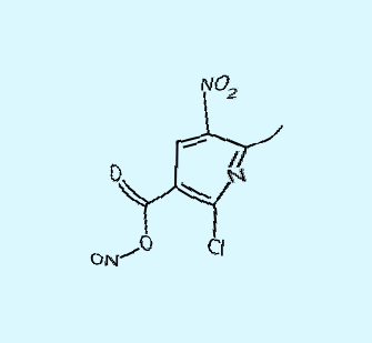 Cc1nc(Cl)c(C(=O)ON=O)cc1[N+](=O)[O-]